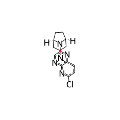 CN(C)C1C[C@H]2CC[C@@H](C1)N2c1cnc2nc(Cl)ccc2n1